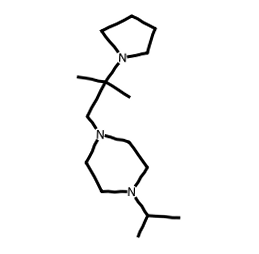 CC(C)N1CCN(CC(C)(C)N2CCCC2)CC1